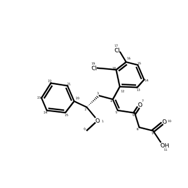 CO[C@@H](CC(=CC(=O)CC(=O)O)c1cccc(Cl)c1Cl)c1ccccc1